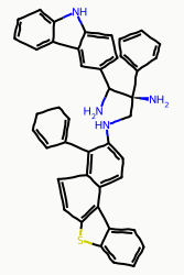 NC(c1ccc2[nH]c3ccccc3c2c1)[C@@](N)(CNc1ccc2c(ccc3sc4ccccc4c32)c1C1=CCCC=C1)c1ccccc1